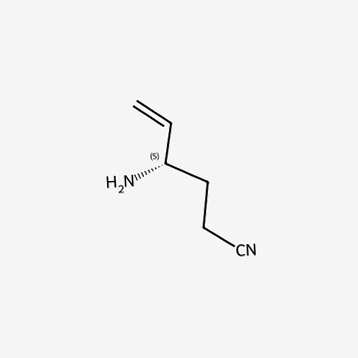 C=C[C@@H](N)CCC#N